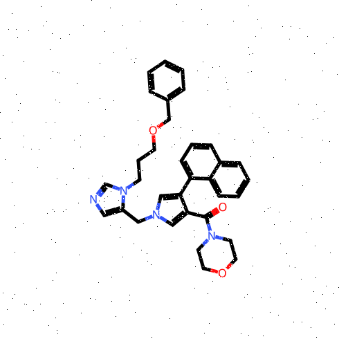 O=C(c1cn(Cc2cncn2CCCOCc2ccccc2)cc1-c1cccc2ccccc12)N1CCOCC1